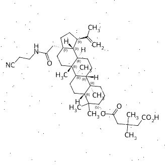 C=C(C)[C@@H]1CC[C@]2(CC(=O)NCCC#N)CC[C@]3(C)[C@H](CC[C@@H]4[C@@]5(C)CC[C@H](OC(=O)CC(C)(C)CC(=O)O)C(C)(C)[C@@H]5CC[C@]43C)[C@@H]12